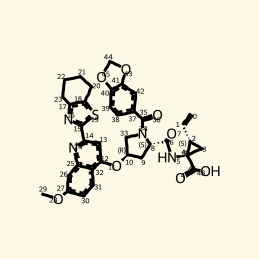 C=C[C@@H]1C[C@]1(NC(=O)[C@@H]1C[C@@H](Oc2cc(-c3nc4c(s3)CCCC4)nc3cc(OC)ccc23)CN1C(=O)c1ccc2c(c1)OCO2)C(=O)O